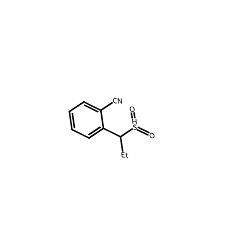 CCC(c1ccccc1C#N)[SH](=O)=O